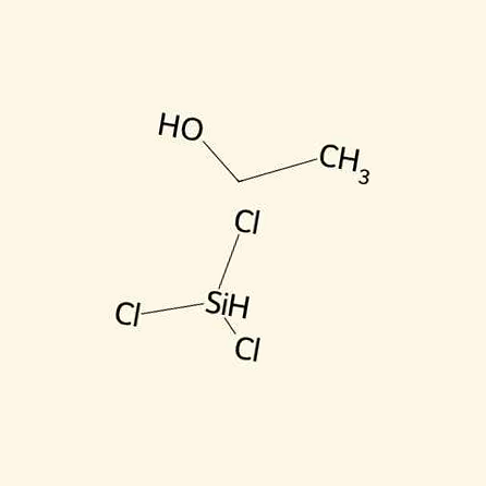 CCO.Cl[SiH](Cl)Cl